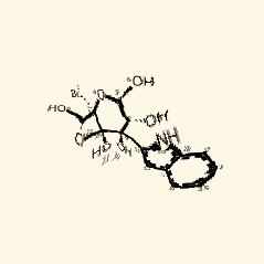 OC[C@@]1(Br)O[C@@H](O)[C@H](O)[C@](O)(c2cc3ccccc3[nH]2)[C@]1(O)Cl